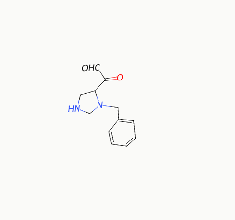 O=CC(=O)C1CNCN1Cc1ccccc1